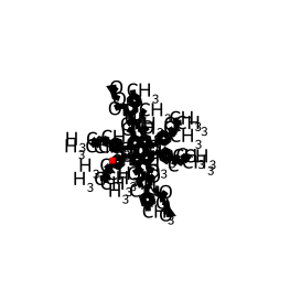 CCCC(C(=O)N(CCC(=O)OCC1CO1)Cc1ccc(C)cc1)N1C(=O)c2cc(Oc3ccc(C(C)(C)CC(C)(C)C)cc3)c3c4c(Oc5ccc(C(C)(C)CC(C)(C)C)cc5)cc5c6c(cc(Oc7ccc(C(C)(C)CC(C)(C)C)cc7)c(c7c(Oc8ccc(C(C)(C)CC(C)(C)C)cc8)cc(c2c37)C1=O)c64)C(=O)N(C(CCC)C(=O)N(CCC(=O)OCC1CO1)Cc1ccc(C)cc1)C5=O